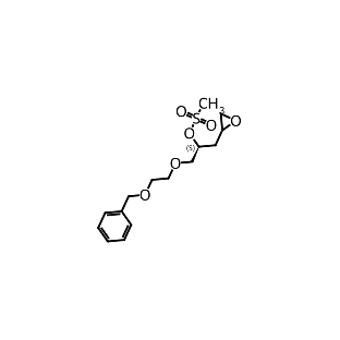 CS(=O)(=O)O[C@H](COCCOCc1ccccc1)CC1CO1